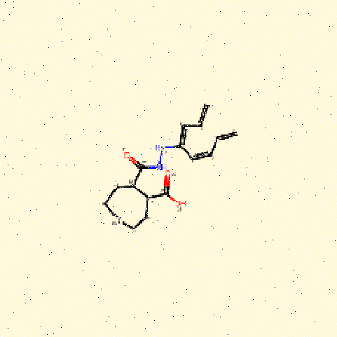 C=C/C=C\C(=C/C=C)NNC(=O)C1CCCCCC1C(=O)O